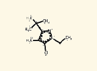 CCn1nc(C(C)(C)C)c(C)c1Cl